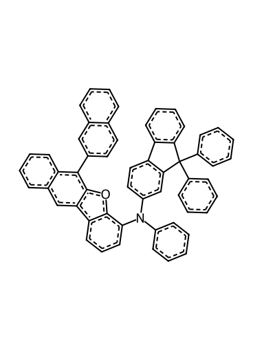 c1ccc(N(c2ccc3c(c2)C(c2ccccc2)(c2ccccc2)c2ccccc2-3)c2cccc3c2oc2c(-c4ccc5ccccc5c4)c4ccccc4cc23)cc1